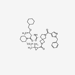 C[C@@H](OCC1CCCCC1)[C@H](NC(=O)[C@@H]1CN(C(=O)c2cnn(Cc3ccccc3)c2)CC12CN(C(=O)[C@H]1CC1(C)C)C2)C(=O)N1CCCC[C@H]1C(=O)O